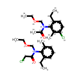 CCOCN(C(=O)CCl)c1c(C)cccc1CC.CCOCN(C(C)=O)c1c(CC)ccc(Cl)c1C